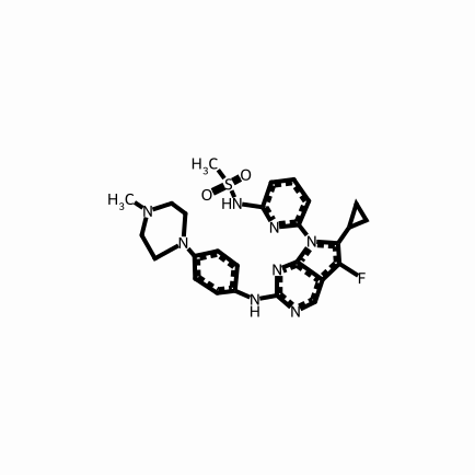 CN1CCN(c2ccc(Nc3ncc4c(F)c(C5CC5)n(-c5cccc(NS(C)(=O)=O)n5)c4n3)cc2)CC1